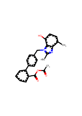 CCCCc1nc2c(C)ccc(O)c2n1Cc1ccc(-c2ccccc2C(=O)OC(=O)C(F)(F)F)cc1